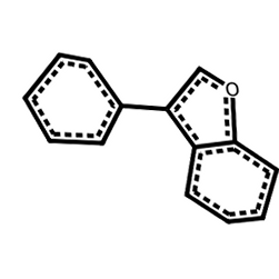 [c]1cccc2c(-c3ccccc3)coc12